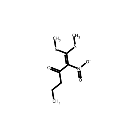 CCCC(=O)C(=C(SC)SC)[N+](=O)[O-]